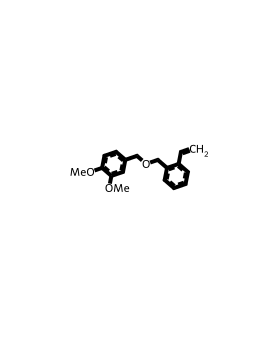 C=Cc1ccccc1COCc1ccc(OC)c(OC)c1